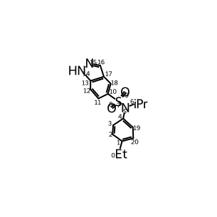 CCc1ccc(N(C(C)C)S(=O)(=O)c2ccc3[nH]ncc3c2)cc1